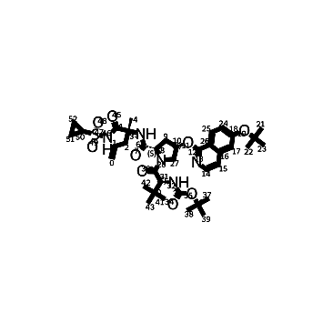 C=CC[C@@](C)(NC(=O)[C@@H]1C[C@@H](Oc2nccc3cc(OC(C)(C)C)ccc23)CN1C(=O)[C@@H](NC(=O)OC(C)(C)C)C(C)(C)C)C(=O)NS(=O)(=O)C1CC1